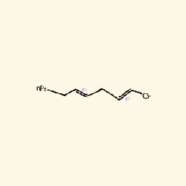 CCCC/C=C/C/C=C/[O]